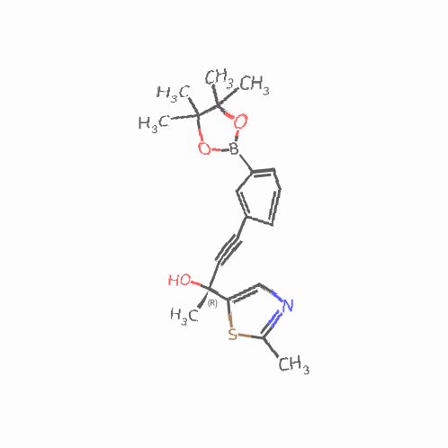 Cc1ncc([C@](C)(O)C#Cc2cccc(B3OC(C)(C)C(C)(C)O3)c2)s1